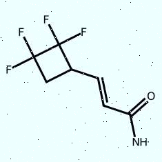 [NH]C(=O)C=CC1CC(F)(F)C1(F)F